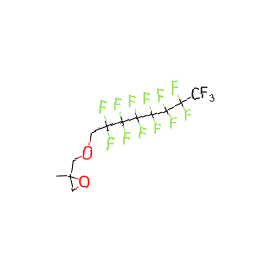 CC1(COCC(F)(F)C(F)(F)C(F)(F)C(F)(F)C(F)(F)C(F)(F)C(F)(F)F)CO1